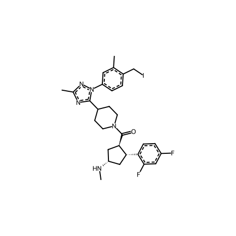 CN[C@@H]1C[C@@H](C(=O)N2CCC(c3nc(C)nn3-c3ccc(CI)c(C)c3)CC2)[C@H](c2ccc(F)cc2F)C1